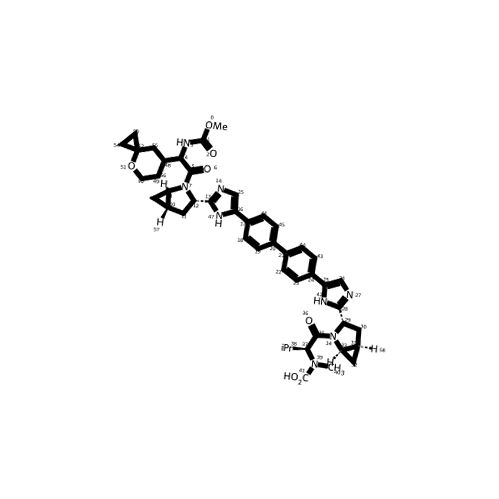 COC(=O)NC(C(=O)N1[C@@H]2C[C@H]2C[C@H]1c1ncc(-c2ccc(-c3ccc(-c4cnc([C@@H]5C[C@H]6C[C@H]6N5C(=O)[C@H](C(C)C)N(C)C(=O)O)[nH]4)cc3)cc2)[nH]1)C1CCOC2(CC2)C1